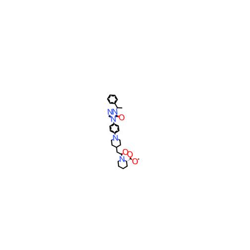 COC(=O)[C@@H]1CCCCN1C(=O)CC1CCN(c2ccc(-n3cnn(C(C)c4ccccc4)c3=O)cc2)CC1